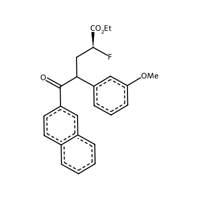 CCOC(=O)[C@@H](F)CC(C(=O)c1ccc2ccccc2c1)c1cccc(OC)c1